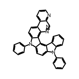 c1ccc(-n2c3ccccc3c3c4c5c(ccc6c7cccnc7c7nccn7c65)n(-c5ccccc5)c4ccc32)cc1